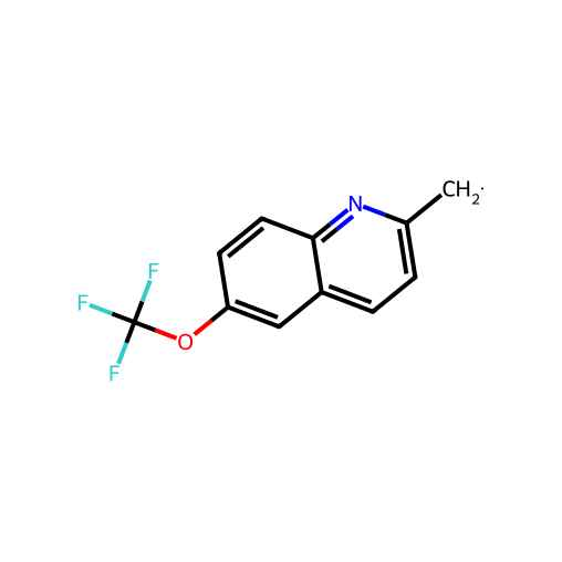 [CH2]c1ccc2cc(OC(F)(F)F)ccc2n1